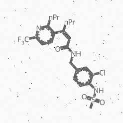 CCC/C(=C/C(=O)NCc1ccc(NS(C)(=O)=O)c(Cl)c1)c1ccc(C(F)(F)F)nc1CCC